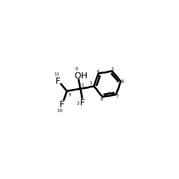 OC(F)(c1ccccc1)C(F)F